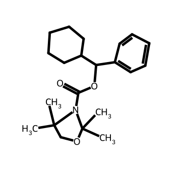 CC1(C)COC(C)(C)N1C(=O)OC(c1ccccc1)C1CCCCC1